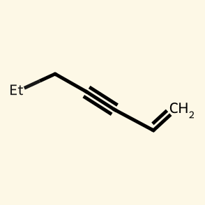 [CH2]CCC#CC=C